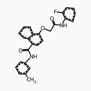 Cc1cccc(NC(=O)c2ccc(OCC(=O)Nc3ccccc3F)c3ccccc23)c1